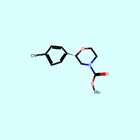 [C-]#[N+]c1ccc([C@H]2CN(C(=O)OC(C)(C)C)CCO2)cc1